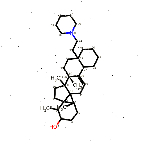 CC1C(O)CCC2(C)C13CCC1(C)C23CC=C2C3CCCCC3(CCN3CCCCC3)CC[C@]21C